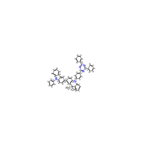 CC1(C)c2ccccc2N(c2ccc(-c3nc(-c4ccccc4)nc(-c4ccccc4)n3)cc2)c2ccc(-c3ccc4c(c3)c3ccccc3n4-c3ccccc3)cc21